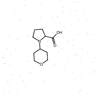 O=C(O)C1CCCN1C1CCOCC1